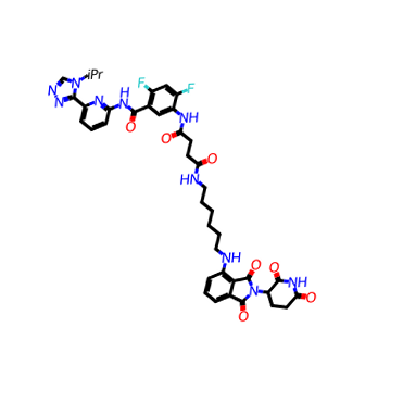 CC(C)n1cnnc1-c1cccc(NC(=O)c2cc(NC(=O)CCC(=O)NCCCCCCNc3cccc4c3C(=O)N(C3CCC(=O)NC3=O)C4=O)c(F)cc2F)n1